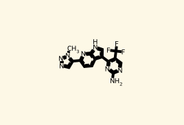 Cn1nncc1-c1ccc2c(-c3nc(N)ncc3C(F)(F)F)c[nH]c2n1